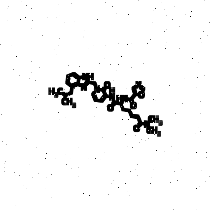 CC(C)Cc1cccc2[nH]c(Cn3cccc(NC(=O)[C@H](CC/C=C/C(=O)N(C)C)NC(=O)c4cnco4)c3=O)nc12